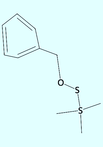 CS(C)(C)SOCc1ccccc1